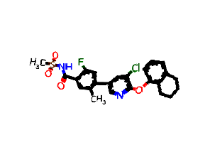 Cc1cc(C(=O)NS(C)(=O)=O)c(F)cc1-c1cnc(Oc2cccc3c2CCCC3)c(Cl)c1